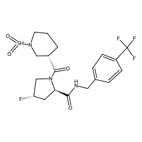 O=C(NCc1ccc(C(F)(F)F)cc1)[C@H]1C[C@H](F)CN1C(=O)[C@H]1CCCN([SH](=O)=O)C1